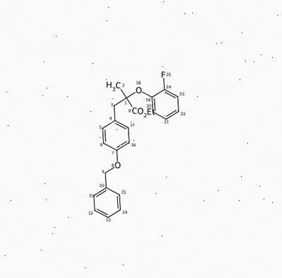 CCOC(=O)C(C)(Cc1ccc(OCc2ccccc2)cc1)Oc1ccccc1F